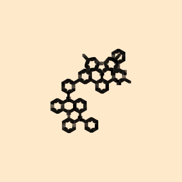 Cc1ccc2c(c1)c1cc(C)ccc1n2-c1c(-c2cccc(-c3cccc(N4c5ccccc5B5c6ccccc6N(c6ccccc6)c6cccc4c65)c3)c2)cccc1-c1nc(C)nc(-c2ccccc2)n1